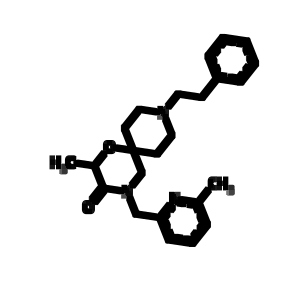 Cc1cccc(CN2CC3(CCN(CCc4ccccc4)CC3)OC(C)C2=O)n1